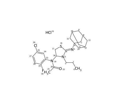 CCCN1C(=NC23CC4CC(CC(C4)C2)C3)SCC1N(C(C)=O)c1cc(Cl)ccc1F.Cl